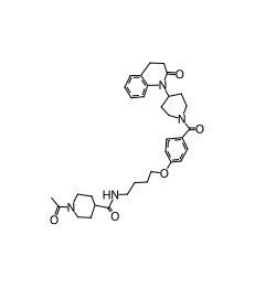 CC(=O)N1CCC(C(=O)NCCCCOc2ccc(C(=O)N3CCC(N4C(=O)CCc5ccccc54)CC3)cc2)CC1